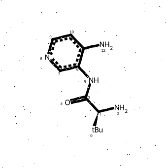 CC(C)(C)[C@H](N)C(=O)Nc1cnccc1N